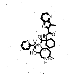 Cc1c(C(=O)NC2(C(=O)N([C@H]3CC[C@@H](C)NCC3O)S(=O)(=O)c3ccccn3)CCCCC2)oc2cccnc12